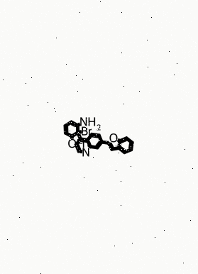 NC1=CC=CC(O)C1(Br)c1ccnc2cc(-c3cc4ccccc4o3)ccc12